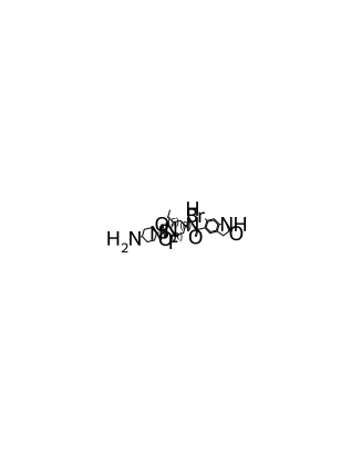 CC[C@H]1C[C@@H](NC(=O)c2cc3c(cc2Br)NC(=O)C3)C[C@@H](F)N1S(=O)(=O)N1CCC(N)CC1